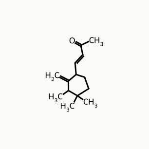 C=C1C(C=CC(C)=O)CCC(C)(C)C1C